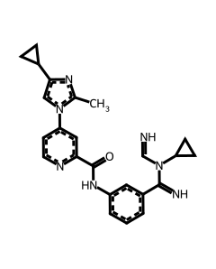 Cc1nc(C2CC2)cn1-c1ccnc(C(=O)Nc2cccc(C(=N)N(C=N)C3CC3)c2)c1